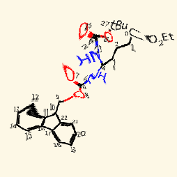 CCOC(=O)CCCC(NC(=O)OCC1c2ccccc2-c2ccccc21)NC(=O)OC(C)(C)C